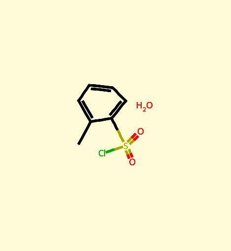 Cc1ccccc1S(=O)(=O)Cl.O